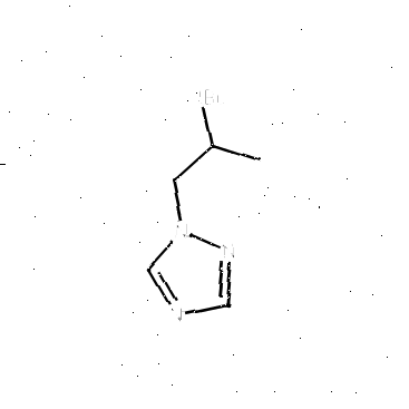 CC(Cn1cncn1)C(C)(C)C